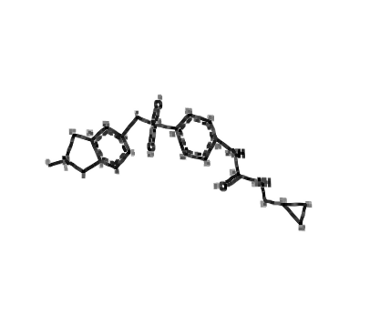 CN1Cc2ccc(CS(=O)(=O)c3ccc(NC(=O)NCC4CC4)cc3)cc2C1